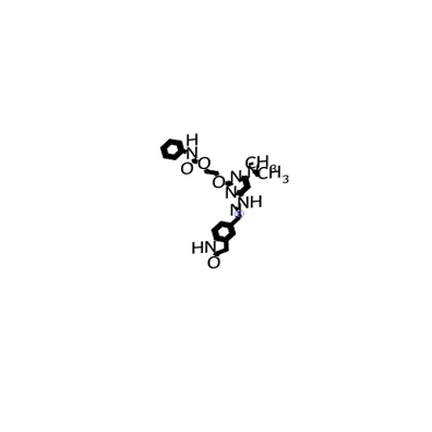 CN(C)c1cc(N/N=C/c2ccc3c(c2)CC(=O)N3)nc(OCCOC(=O)Nc2ccccc2)n1